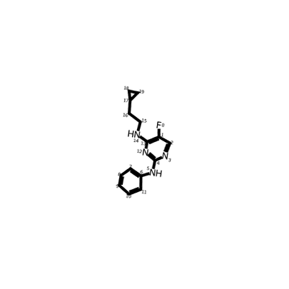 Fc1cnc(Nc2ccccc2)nc1NCCC1CC1